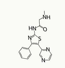 CNCC(=O)Nc1nc(-c2ccccc2)c(-c2cnccn2)s1